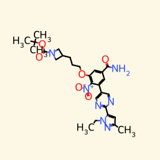 CCn1nc(C)cc1-c1ncc(-c2cc(C(N)=O)cc(OCCCC3CN(C(=O)OC(C)(C)C)C3)c2[N+](=O)[O-])cn1